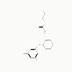 COCCNC(=O)CS[C@@H]1CCCC[C@H]1Sc1cc(C(C)(C)C)cc(C(C)(C)C)c1